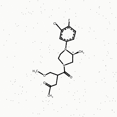 COCC(CC(C)=O)C(=O)N1CCN(c2ccc(F)c(Cl)c2)[C@@H](C)C1